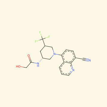 N#Cc1ccc(N2CC(C(F)(F)F)C[C@@H](NC(=O)CO)C2)c2cccnc12